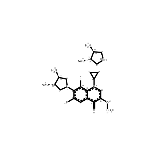 CS[C@H]1CN(c2c(F)cc3c(=O)c(OC(=O)O)cn(C4CC4)c3c2F)C[C@@H]1N.CS[C@H]1CNC[C@@H]1N